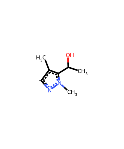 Cc1[c]nn(C)c1C(C)O